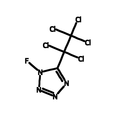 Fn1nnnc1C(Cl)(Cl)C(Cl)(Cl)Cl